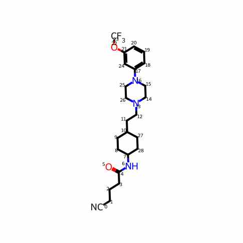 N#CCCCC(=O)NC1CCC(CCN2CCN(c3cccc(OC(F)(F)F)c3)CC2)CC1